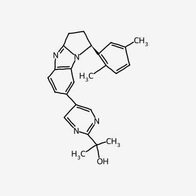 Cc1ccc(C)c([C@@H]2CCc3nc4ccc(-c5cnc(C(C)(C)O)nc5)cc4n32)c1